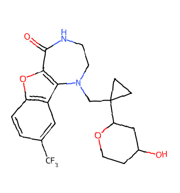 O=C1NCCN(CC2(C3CC(O)CCO3)CC2)c2c1oc1ccc(C(F)(F)F)cc21